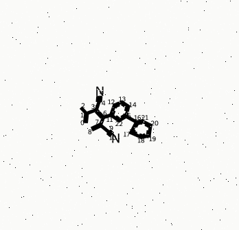 C=C(C)/C(C#N)=C(\C(=C)C#N)c1cccc(-c2ccccc2)c1